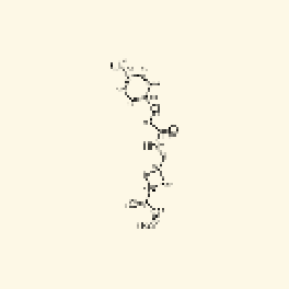 CC(C)(C)OC(=O)N1CC(CNC(=O)COc2ccc(Cl)cc2)C1